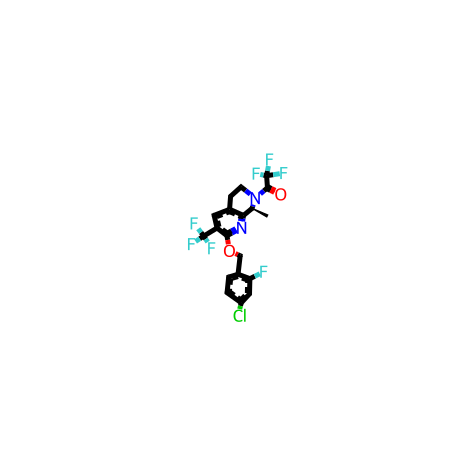 C[C@H]1c2nc(OCc3ccc(Cl)cc3F)c(C(F)(F)F)cc2CCN1C(=O)C(F)(F)F